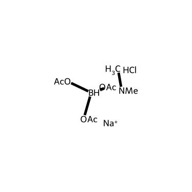 CC(=O)O[BH-](OC(C)=O)OC(C)=O.CNC.Cl.[Na+]